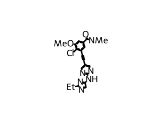 CCC1N=CC(Nc2ncc(C#Cc3cc(C(=O)NC)cc(OC)c3Cl)cn2)=N1